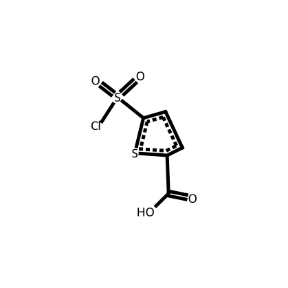 O=C(O)c1ccc(S(=O)(=O)Cl)s1